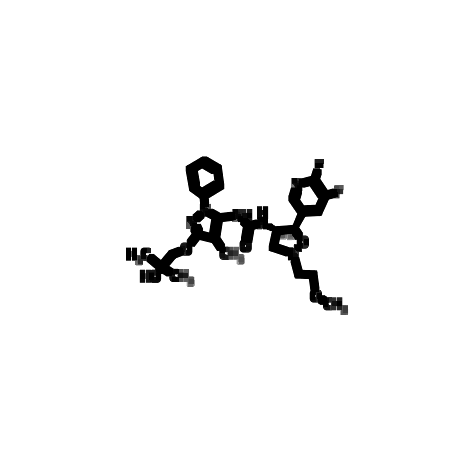 COCCN1C[C@H](NC(=O)Nc2c(C)c(OCC(C)(C)O)nn2-c2ccccc2)[C@@H](c2cnc(F)c(F)c2)O1